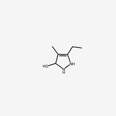 CCC1=C(C)C(O)NN1